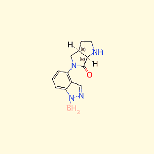 Bn1ncc2c(N3C[C@H]4CCN[C@H]4C3=O)cccc21